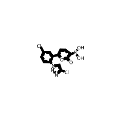 O=c1oc(-c2cc(Cl)ccc2-n2cc(Cl)nn2)ccc1B(O)O